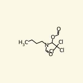 CCCCN(C=O)C(OC=O)C(Cl)(Cl)Cl